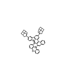 c1ccc2c(c1)Sc1cccc3c1N2c1cc2ccccc2c2c1B3n1c3ccc(C45CC6CC7CC(C4)C76C5)cc3c3cc(C45CC6CC7CC(C4)C76C5)cc-2c31